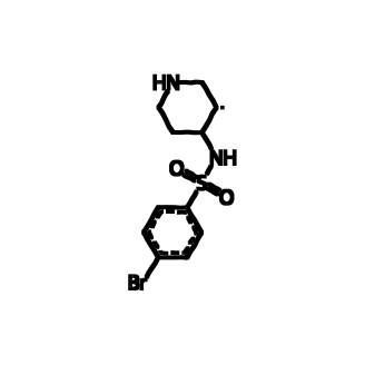 O=S(=O)(NC1[CH]CNCC1)c1ccc(Br)cc1